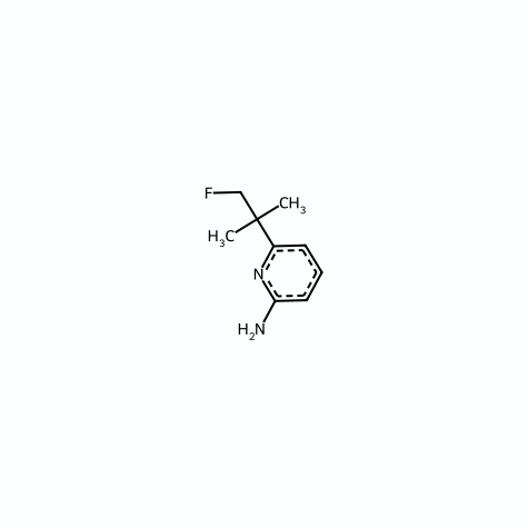 CC(C)(CF)c1cccc(N)n1